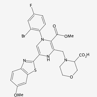 COC(=O)C1=C(CN2CCOCC2C(=O)O)NC(c2nc3ccc(OC)cc3s2)=CN1c1ccc(F)cc1Br